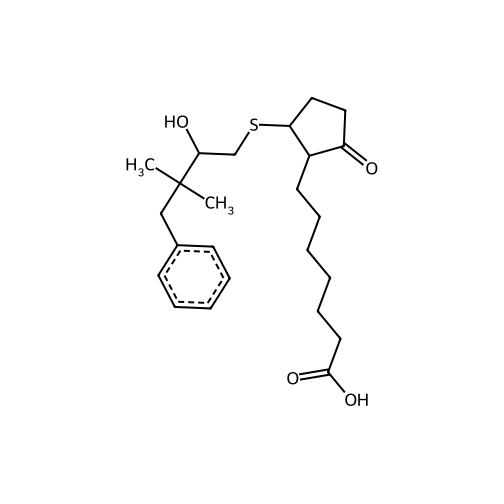 CC(C)(Cc1ccccc1)C(O)CSC1CCC(=O)C1CCCCCCC(=O)O